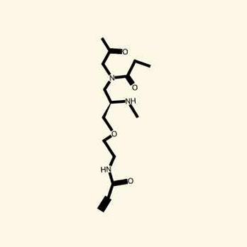 C#CC(=O)NCCOC[C@@H](CN(CC(C)=O)C(=O)CC)NC